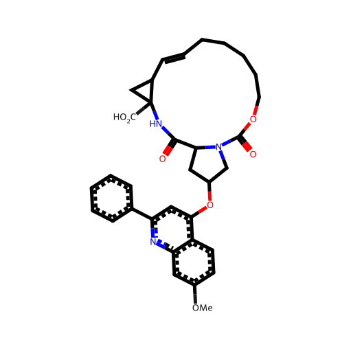 COc1ccc2c(OC3CC4C(=O)NC5(C(=O)O)CC5/C=C/CCCCCOC(=O)N4C3)cc(-c3ccccc3)nc2c1